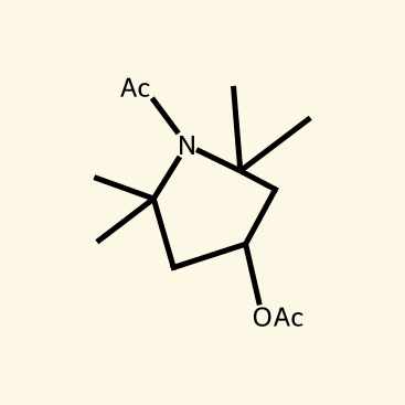 CC(=O)OC1CC(C)(C)N(C(C)=O)C(C)(C)C1